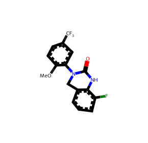 COc1ccc(C(F)(F)F)cc1N1[CH]c2cccc(F)c2NC1=O